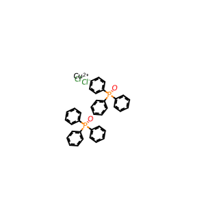 O=P(c1ccccc1)(c1ccccc1)c1ccccc1.O=P(c1ccccc1)(c1ccccc1)c1ccccc1.[Cl-].[Cl-].[Cu+2]